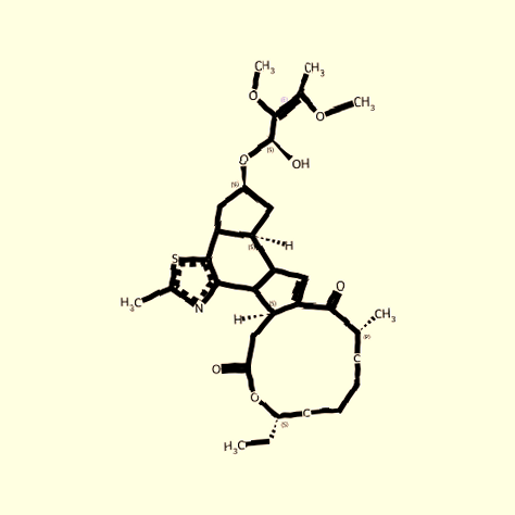 CC[C@H]1CCCC[C@@H](C)C(=O)C2=CC3C(c4nc(C)sc4C4C[C@@H](O[C@H](O)/C(OC)=C(/C)OC)C[C@H]43)[C@@H]2CC(=O)O1